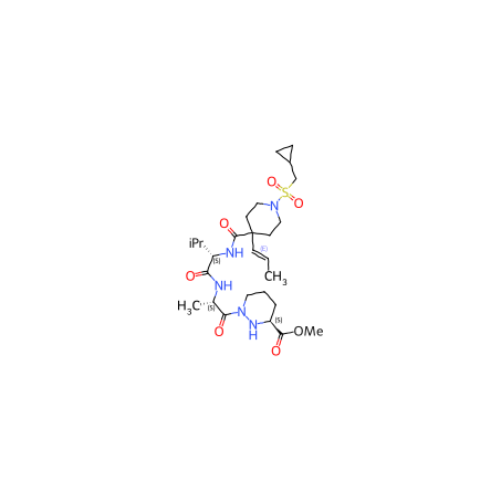 C/C=C/C1(C(=O)N[C@H](C(=O)N[C@@H](C)C(=O)N2CCC[C@@H](C(=O)OC)N2)C(C)C)CCN(S(=O)(=O)CC2CC2)CC1